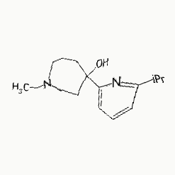 CC(C)c1cccc(C2(O)CCN(C)CC2)n1